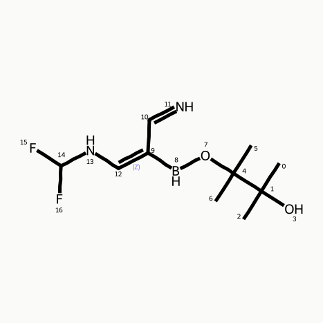 CC(C)(O)C(C)(C)OB/C(C=N)=C/NC(F)F